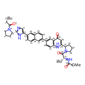 CC[C@H](C)CC(=O)N1CCC[C@H]1c1ncc(-c2ccc3cc(-c4ccc5[nH]c(C6CCCN6C(=O)[C@@H](NC(=O)OC)[C@@H](C)CC)cc(=O)c5c4)ccc3c2)[nH]1